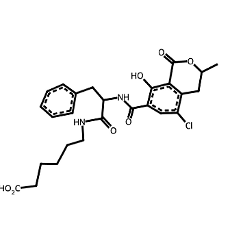 CC1Cc2c(Cl)cc(C(=O)NC(Cc3ccccc3)C(=O)NCCCCCC(=O)O)c(O)c2C(=O)O1